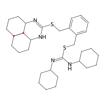 c1ccc(CS/C(=N/C2CCCCC2)NC2CCCCC2)c(CS/C(=N/C2CCCCC2)NC2CCCCC2)c1